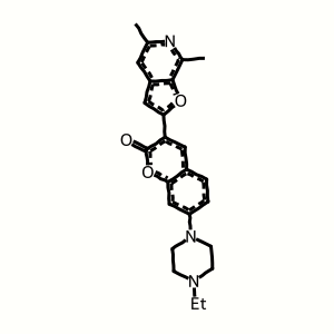 CCN1CCN(c2ccc3cc(-c4cc5cc(C)nc(C)c5o4)c(=O)oc3c2)CC1